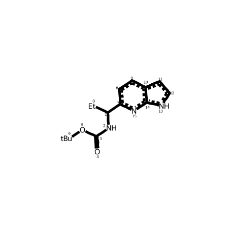 CCC(NC(=O)OC(C)(C)C)c1ccc2cc[nH]c2n1